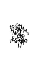 CC(C)(C=C(C#N)C(=O)N1CCC[C@@H]1Cn1c(NC(=O)c2ccc(C(F)F)s2)nc2ccccc21)CO[Si](C)(C)C(C)(C)C